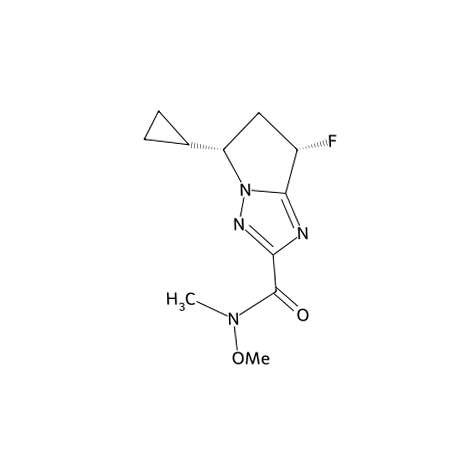 CON(C)C(=O)c1nc2n(n1)[C@H](C1CC1)C[C@@H]2F